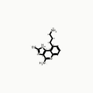 CCc1nc2c(N)nc3cccc(CCCN)c3c2[nH]1